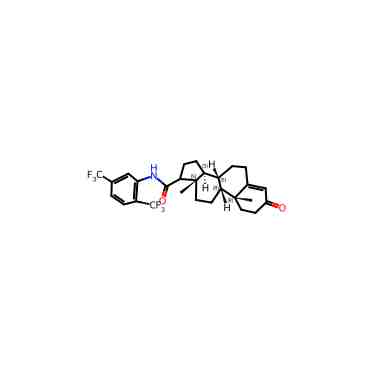 C[C@]12CCC(=O)C=C1CC[C@@H]1[C@H]2CC[C@]2(C)C(C(=O)Nc3cc(C(F)(F)F)ccc3C(F)(F)F)CC[C@@H]12